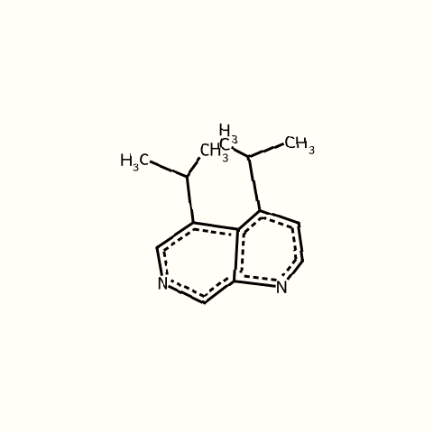 CC(C)c1ccnc2cncc(C(C)C)c12